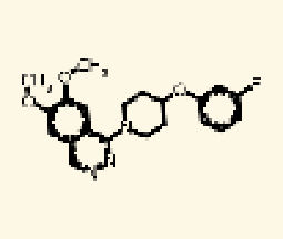 COc1cc2cnnc(N3CCC(Oc4cccc(F)c4)CC3)c2cc1OC